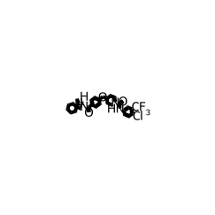 CN(C)C1(CNC(=O)c2ccc(OC3CCN(C(=O)Nc4ccc(Cl)c(C(F)(F)F)c4)CC3)cc2)CCCCC1